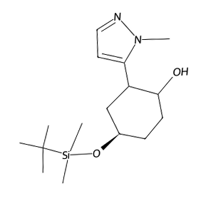 Cn1nccc1C1C[C@H](O[Si](C)(C)C(C)(C)C)CCC1O